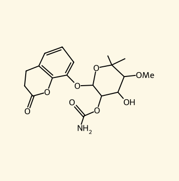 COC1C(O)C(OC(N)=O)C(Oc2cccc3c2OC(=O)CC3)OC1(C)C